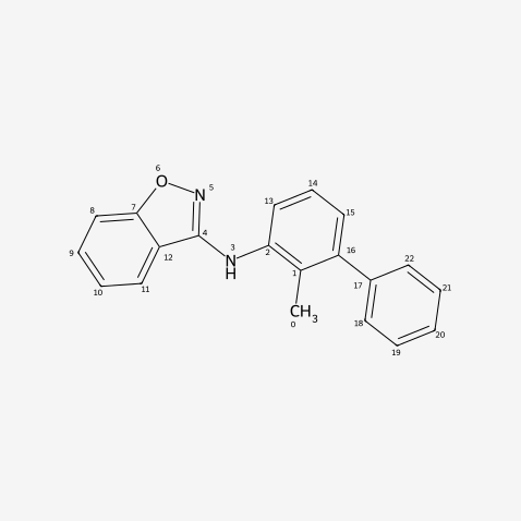 Cc1c(Nc2noc3ccccc23)cccc1-c1ccccc1